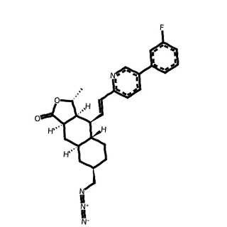 C[C@H]1OC(=O)[C@@H]2C[C@@H]3C[C@H](CN=[N+]=[N-])CC[C@H]3[C@H](/C=C/c3ccc(-c4cccc(F)c4)cn3)[C@H]12